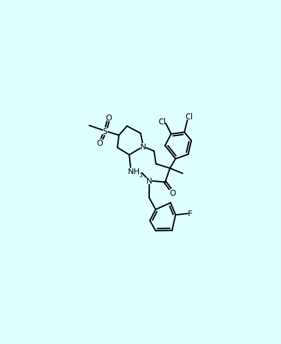 CN(Cc1cccc(F)c1)C(=O)C(C)(CCN1CCC(S(C)(=O)=O)CC1N)c1ccc(Cl)c(Cl)c1